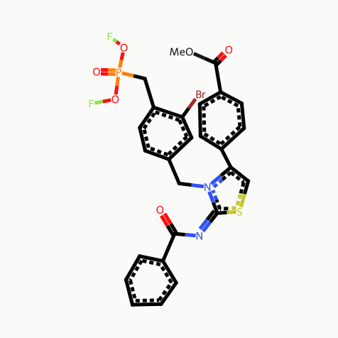 COC(=O)c1ccc(-c2csc(=NC(=O)c3ccccc3)n2Cc2ccc(CP(=O)(OF)OF)c(Br)c2)cc1